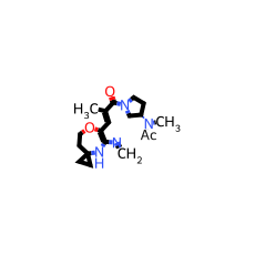 C=NC1=C(/C=C(\C)C(=O)N2CC[C@H](N(C)C(C)=O)C2)OCCC2(CC2)N1